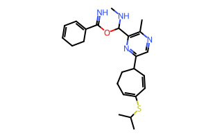 CNC(OC(=N)C1=CC=CCC1)c1nc(C2C=CC(SC(C)C)=CCC2)cnc1C